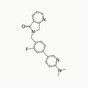 CN(C)c1ccc(-c2ccc(CN3Cc4ncccc4C3=O)c(F)c2)cn1